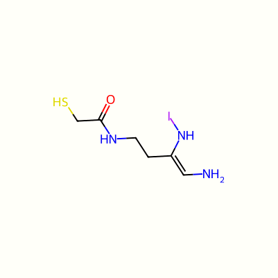 N/C=C(/CCNC(=O)CS)NI